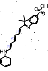 CC1(C)C(/C=C/C=C/C=C/NC2C=CC=CC2)=Nc2ccc(S(=O)(=O)O)cc21